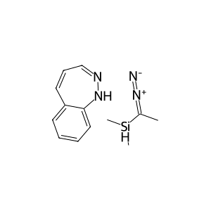 C1=Cc2ccccc2NN=C1.CC(=[N+]=[N-])[SiH](C)C